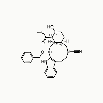 COC(=O)[C@@H]1[C@H]2C[C@@H](OCc3ccccc3)c3[nH]c4ccccc4c3CCN(C#N)C[C@@H]2CC[C@@H]1O